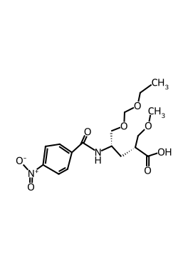 CCOCOC[C@H](C[C@H](COC)C(=O)O)NC(=O)c1ccc([N+](=O)[O-])cc1